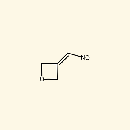 O=NC=C1COC1